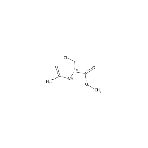 COC(=O)[C@@H](CCl)NC(C)=O